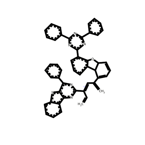 C=C/C(=C\C(=C)C1=CC=CC2Oc3c(-c4nc(-c5ccccc5)nc(-c5ccccc5)n4)cccc3C12)c1nc(-c2ccccc2)c2sc3ccccc3c2n1